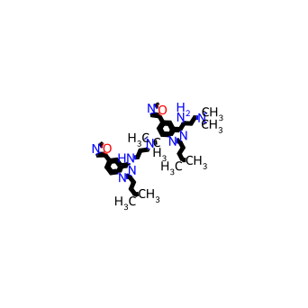 CC(C)CCc1nc(C(N)CCN(C)C)c2cc(-c3cnco3)ccc2n1.CC(C)CCc1nc(NCCCN(C)C)c2cc(-c3cnco3)ccc2n1